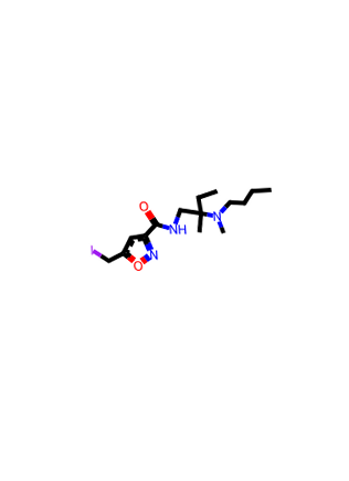 CCCCN(C)C(C)(CC)CNC(=O)c1cc(CI)on1